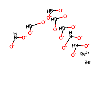 [O-]B[O-].[O-]B[O-].[O-]B[O-].[O-]B[O-].[O-]B[O-].[O-]B[O-].[O-]B[O-].[Re+7].[Re+7]